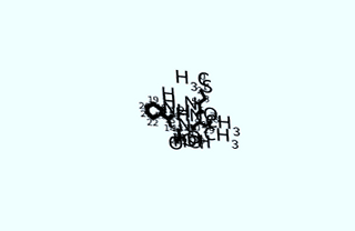 CSCC[C@H](N)C(=O)N[C@H](C(=O)N[C@@H](Cc1c[nH]c2ccccc12)C(=O)O)C(C)C.Cl